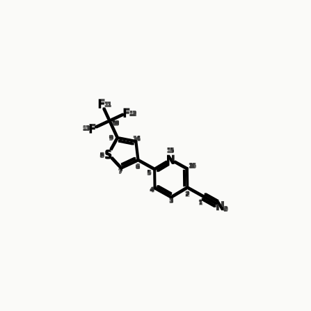 N#Cc1ccc(-c2csc(C(F)(F)F)c2)nc1